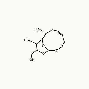 N[C@@H]1C/C=C\CCSC2OC(CO)C(O)C1O2